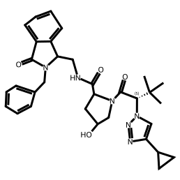 CC(C)(C)[C@@H](C(=O)N1CC(O)CC1C(=O)NCC1c2ccccc2C(=O)N1Cc1ccccc1)n1cc(C2CC2)nn1